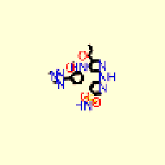 CCC(=O)c1cnc(Nc2ccc(S(=O)(=O)NC)cn2)cc1Nc1cccc(-c2ncn(C)n2)c1OC